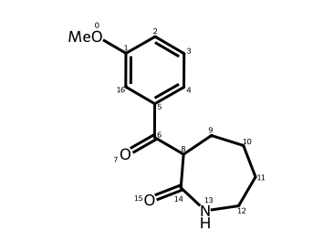 COc1cccc(C(=O)C2CCCCNC2=O)c1